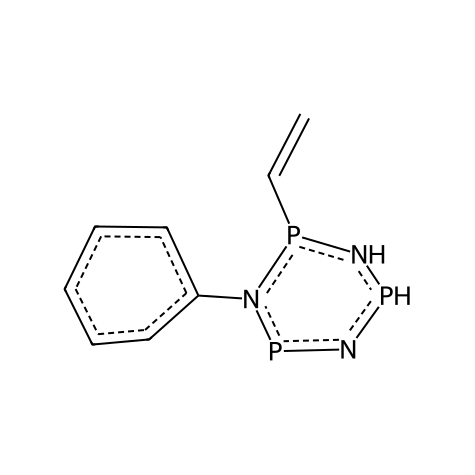 C=Cp1[nH][pH]npn1-c1ccccc1